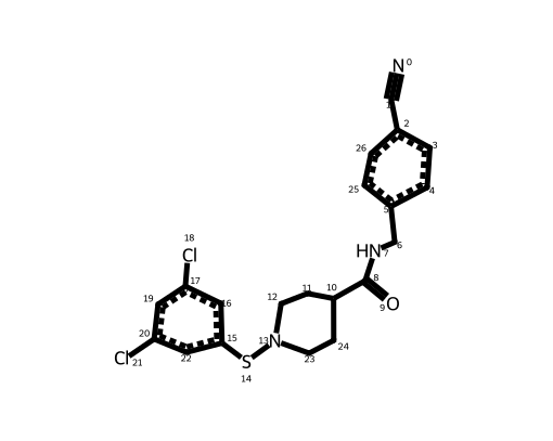 N#Cc1ccc(CNC(=O)C2CCN(Sc3cc(Cl)cc(Cl)c3)CC2)cc1